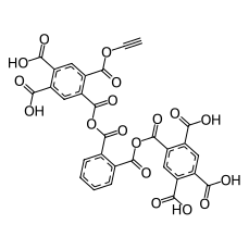 C#COC(=O)c1cc(C(=O)O)c(C(=O)O)cc1C(=O)OC(=O)c1ccccc1C(=O)OC(=O)c1cc(C(=O)O)c(C(=O)O)cc1C(=O)O